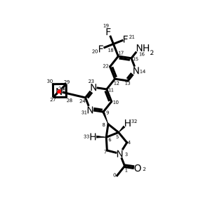 CC(=O)N1C[C@@H]2[C@H](C1)[C@H]2c1cc(-c2cnc(N)c(C(F)(F)F)c2)nc(N2CC3CC2C3)n1